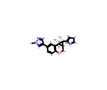 Cn1cc(-c2ccc3c(c2)[C@]2(C)[C@](C)(CO3)[C@]2(C)C2=CCC=N2)cn1